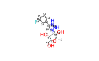 C[C@@H]1OC(CO)[C@H](O)C(N2C=C(c3cccc(F)c3)NN2)[C@@H]1O